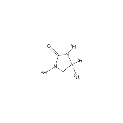 [2H]N1CC([2H])([2H])N([2H])C1=O